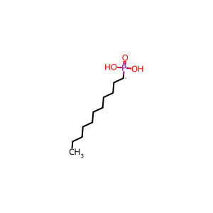 CCCCCCCCCC[CH]P(=O)(O)O